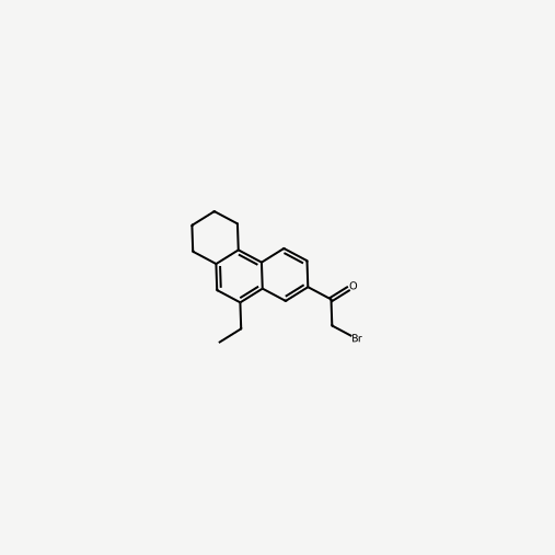 CCc1cc2c(c3ccc(C(=O)CBr)cc13)CCCC2